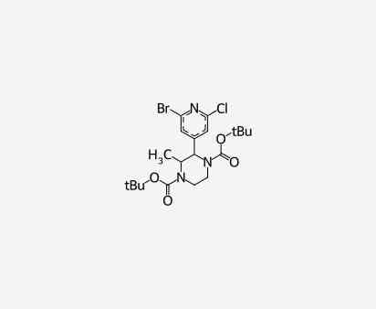 CC1C(c2cc(Cl)nc(Br)c2)N(C(=O)OC(C)(C)C)CCN1C(=O)OC(C)(C)C